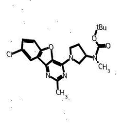 Cc1nc(N2CCC(N(C)C(=O)OC(C)(C)C)C2)c2oc3ccc(Cl)cc3c2n1